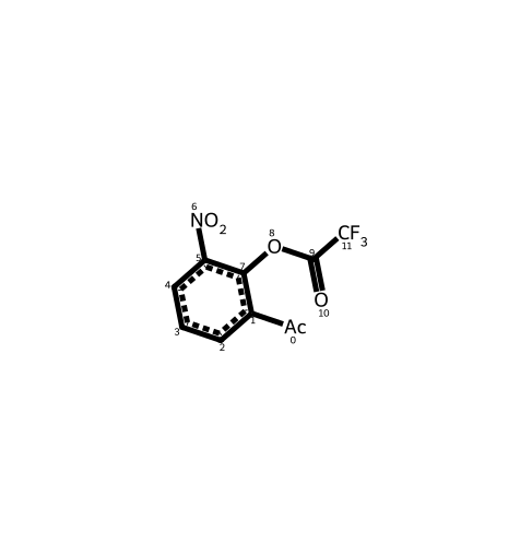 CC(=O)c1cccc([N+](=O)[O-])c1OC(=O)C(F)(F)F